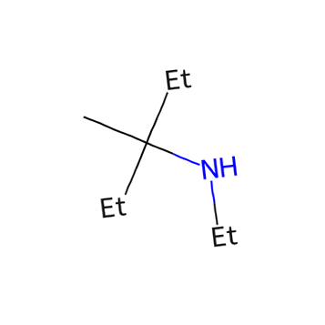 [CH2]CC(C)(CC)NCC